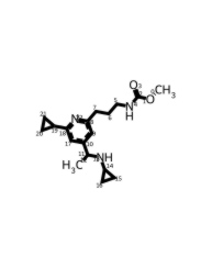 COC(=O)NCCCc1cc(C(C)NC2CC2)cc(C2CC2)n1